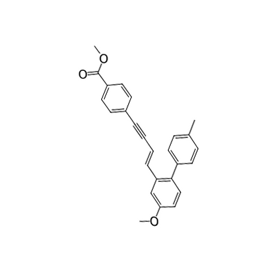 COC(=O)c1ccc(C#C/C=C/c2cc(OC)ccc2-c2ccc(C)cc2)cc1